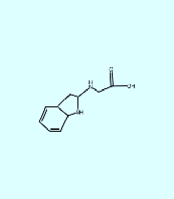 O=C(O)CNC1CC2C=CC=CC2N1